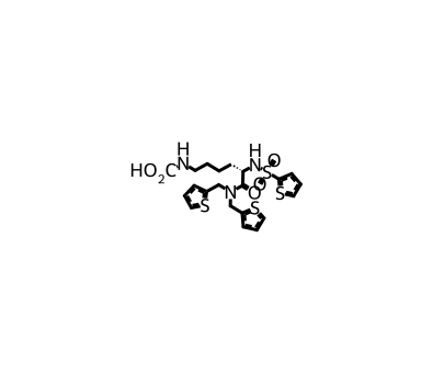 O=C(O)NCCCC[C@H](NS(=O)(=O)c1cccs1)C(=O)N(Cc1cccs1)Cc1cccs1